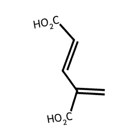 C=C(/C=C/C(=O)O)C(=O)O